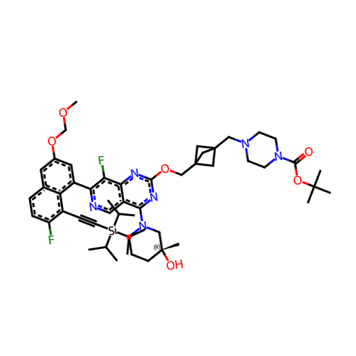 COCOc1cc(-c2ncc3c(N4CCC[C@@](C)(O)C4)nc(OCC45CC(CN6CCN(C(=O)OC(C)(C)C)CC6)(C4)C5)nc3c2F)c2c(C#C[Si](C(C)C)(C(C)C)C(C)C)c(F)ccc2c1